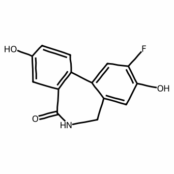 O=C1NCc2cc(O)c(F)cc2-c2ccc(O)cc21